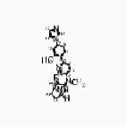 CN(c1ccc(-c2ccc(-n3ccnc3)cc2O)nn1)[C@H]1C[C@@H]2CC[C@@H](N2)[C@H]1F